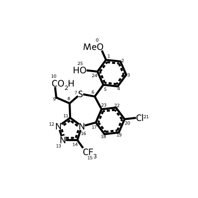 COc1cccc(C2SC(CC(=O)O)c3nnc(C(F)(F)F)n3-c3ccc(Cl)cc32)c1O